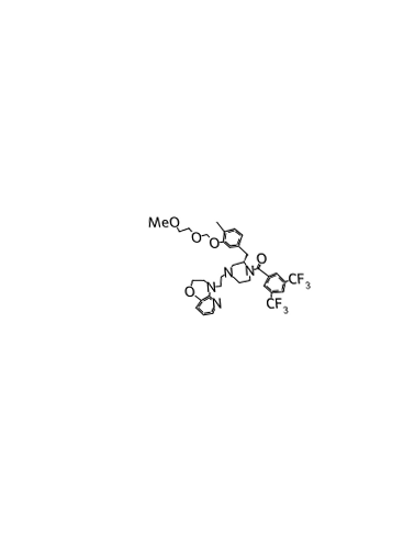 COCCOCOc1cc(C[C@@H]2CN(CCN3CCOc4cccnc43)CCN2C(=O)c2cc(C(F)(F)F)cc(C(F)(F)F)c2)ccc1C